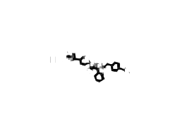 Cn1cc(-c2ccc(NC(=O)[C@H](NCCc3ccc(C#N)cc3)c3ccccc3F)nc2)cn1